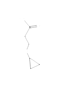 O=C(O)CCOC1CC1